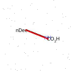 CCCCCCCCCCCCCCCCCCCCCCCCCCCCCCCCCCCCCCNCCCC(=O)O